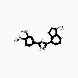 CNc1cc(-c2nc(-c3cccc4c3CC[C@@H]4N)no2)ccc1OC(C)C